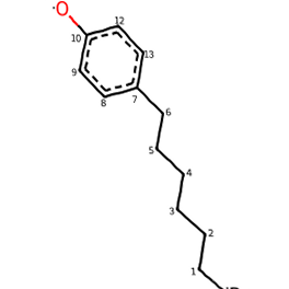 CC(C)CCCCCCc1ccc([O])cc1